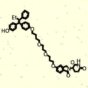 CCC(=C(c1ccc(O)cc1)c1ccc(OCCCCOCCCOCCCOc2ccc3c(c2)CN(C2CCC(=O)NC2=O)C3=O)cc1)c1ccccc1